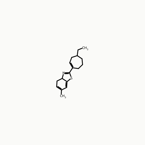 CCC1CC=C(C2=NC3CC=C(C)C=C3S2)CCC1